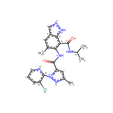 Bc1cc(C(=O)Nc2c(C)cc3cn[nH]c3c2C(=O)NC(C)C)n(-c2ncccc2Cl)n1